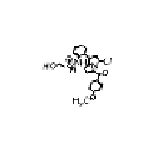 COc1ccc(C(=O)c2ccc3n2C(Cl)CC3c2ccccc2NS(=O)(=O)CCO)cc1